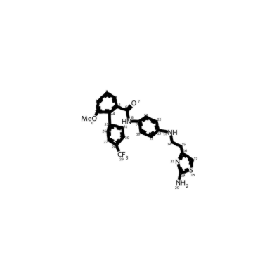 COc1cccc(C(=O)Nc2ccc(NCCc3csc(N)n3)cc2)c1-c1ccc(C(F)(F)F)cc1